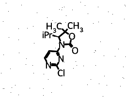 CC(C)[C@@H]1N(c2ccnc(Cl)n2)C(=O)OC1(C)C